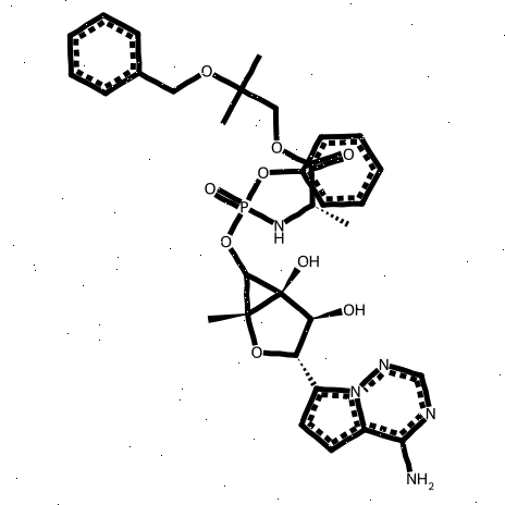 C[C@H](NP(=O)(Oc1ccccc1)OC1[C@@]2(C)O[C@@H](c3ccc4c(N)ncnn34)[C@H](O)[C@@]12O)C(=O)OCC(C)(C)OCc1ccccc1